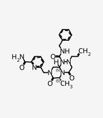 C=CCN1CC(=O)N2[C@@H](C)C(=O)N(Cc3cccc(C(N)=O)n3)C[C@@H]2N1C(=O)NCc1ccccc1